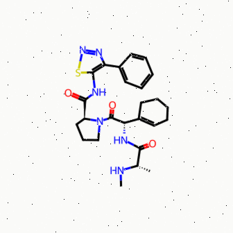 CN[C@@H](C)C(=O)N[C@H](C(=O)N1CCC[C@H]1C(=O)Nc1snnc1-c1ccccc1)C1=CCCCC1